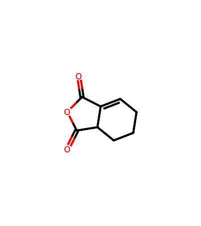 O=C1OC(=O)C2CCCC=C12